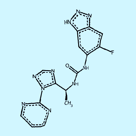 C[C@H](NC(=O)Nc1cc2[nH]nnc2cc1F)c1ncnn1-c1ncccn1